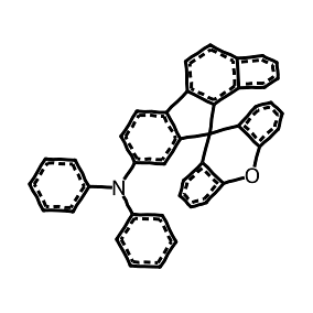 c1ccc(N(c2ccccc2)c2ccc3c(c2)C2(c4ccccc4Oc4ccccc42)c2c-3ccc3ccccc23)cc1